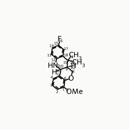 COc1cccc2c1OC[C@@H]1[C@H]2Nc2ccc(F)cc2C1(C)C